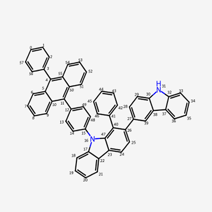 c1ccc(-c2c3ccccc3c(-c3ccc(-n4c5ccccc5c5ccc(-c6ccc7[nH]c8ccccc8c7c6)c(-c6ccccc6)c54)cc3)c3ccccc23)cc1